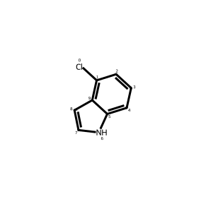 Clc1cccc2[nH]c[c]c12